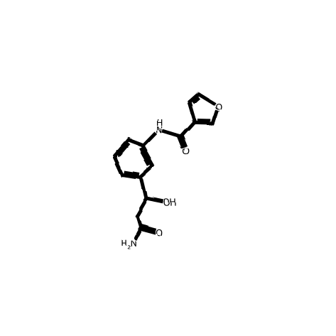 NC(=O)CC(O)c1cccc(NC(=O)c2ccoc2)c1